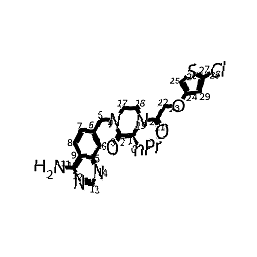 CCC[C@H]1C(=O)N(Cc2ccc3c(N)ncnc3c2)CCN1C(=O)COc1csc(Cl)c1